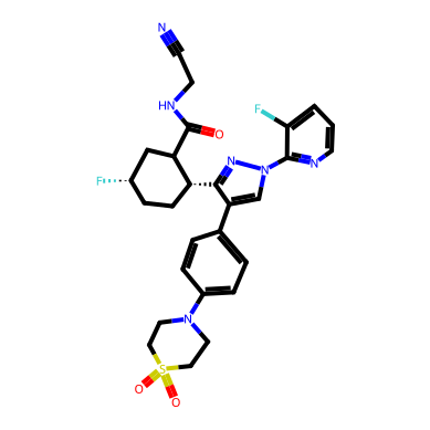 N#CCNC(=O)C1C[C@@H](F)CC[C@H]1c1nn(-c2ncccc2F)cc1-c1ccc(N2CCS(=O)(=O)CC2)cc1